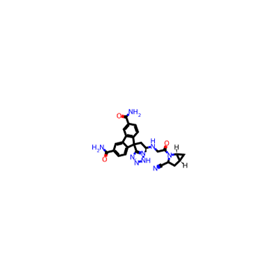 C[C@@H](CC1(c2nn[nH]n2)c2ccc(C(N)=O)cc2-c2cc(C(N)=O)ccc21)NCC(=O)N1C(C#N)C[C@@H]2C[C@@H]21